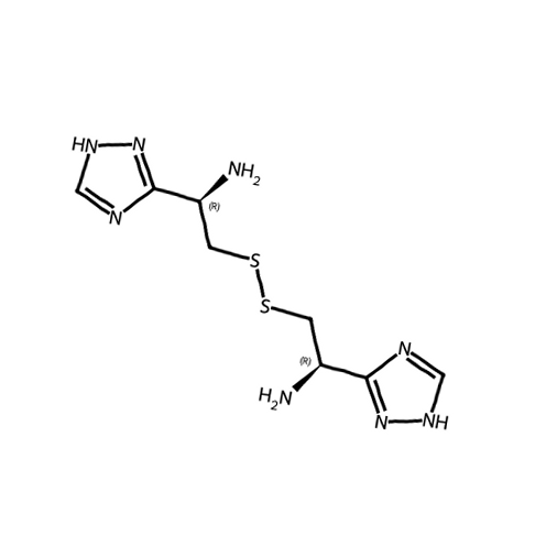 N[C@@H](CSSC[C@H](N)c1nc[nH]n1)c1nc[nH]n1